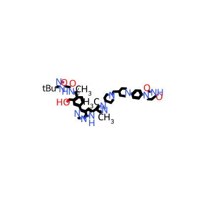 Cc1nn(C2CCN(CC3CCN(c4ccc(N5CCC(=O)NC5=O)cc4)CC3)CC2)c(C)c1-c1cc2c(-c3ccc([C@@H](C)NC(=O)c4nc(C(C)(C)C)no4)c(CO)c3)ncnc2[nH]1